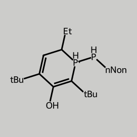 CCCCCCCCCP[PH]1C(C(C)(C)C)=C(O)C(C(C)(C)C)=CC1CC